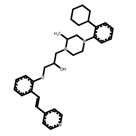 CC1CN(c2ccccc2C2CCCCC2)CCN1CC(O)COc1ccccc1C=Cc1ccncc1